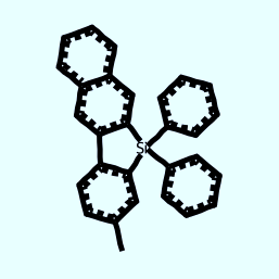 Cc1ccc2c(c1)[Si](c1ccccc1)(c1ccccc1)c1cc3ccccc3cc1-2